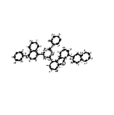 c1ccc(-c2nc(-c3ccc(-c4ccccc4)c4ccccc34)nc(-c3cccc4oc5c(-c6ccc7ccccc7c6)cccc5c34)n2)cc1